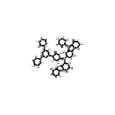 c1ccc(-c2cc(-c3ccccc3)cc(-c3ccc(N(c4ccc5c6ccccc6n(-c6ccccc6)c5c4)c4cccc5c4oc4ccccc45)cc3)c2)cc1